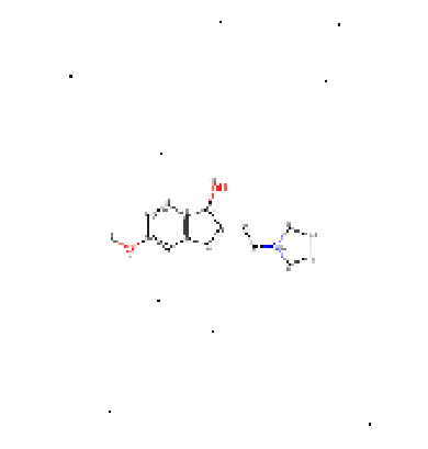 COc1ccc2c(c1)CC(CCN1CCCC1)C2O